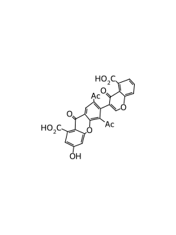 CC(=O)c1cc2c(=O)c3c(C(=O)O)cc(O)cc3oc2c(C(C)=O)c1-c1coc2cccc(C(=O)O)c2c1=O